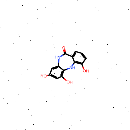 O=C1Nc2cc(O)cc(O)c2Nc2c(O)cccc21